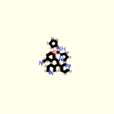 N#Cc1cccc(C(C(c2cccnc2)c2cccnc2)N2CCC[C@H]2C(=O)NC2CCCC2)c1